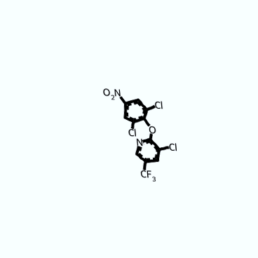 O=[N+]([O-])c1cc(Cl)c(Oc2ncc(C(F)(F)F)cc2Cl)c(Cl)c1